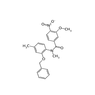 COc1cc(C(=O)N(C)c2ccc(C)cc2OCc2ccccc2)ccc1[N+](=O)[O-]